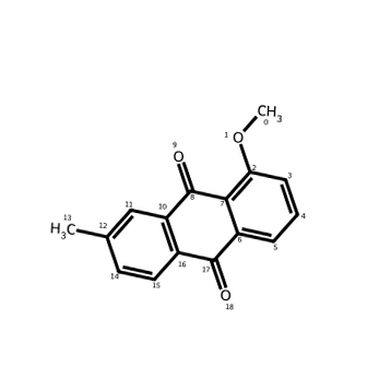 COc1cccc2c1C(=O)c1cc(C)ccc1C2=O